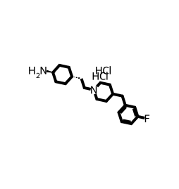 Cl.Cl.N[C@H]1CC[C@H](CCN2CCC(Cc3cccc(F)c3)CC2)CC1